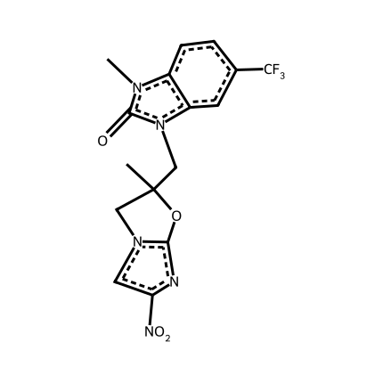 Cn1c(=O)n(CC2(C)Cn3cc([N+](=O)[O-])nc3O2)c2cc(C(F)(F)F)ccc21